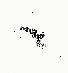 COc1ncc(C(CNC(=O)c2cccc3nc(N4CCN(C(C)C)CC4)ccc23)N2CCC(F)(F)CC2)cn1